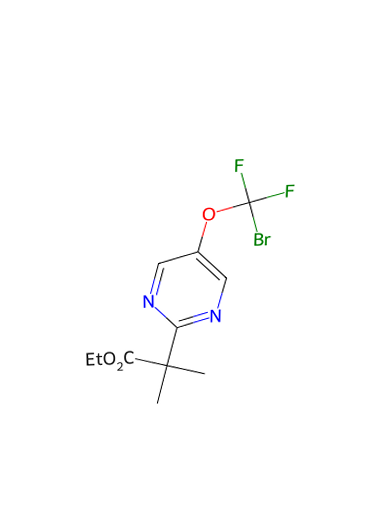 CCOC(=O)C(C)(C)c1ncc(OC(F)(F)Br)cn1